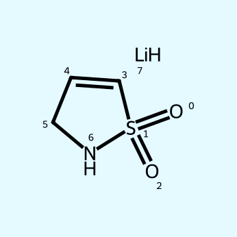 O=S1(=O)C=CCN1.[LiH]